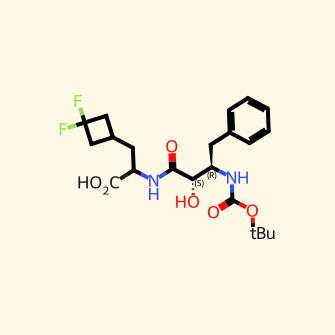 CC(C)(C)OC(=O)N[C@H](Cc1ccccc1)[C@H](O)C(=O)NC(CC1CC(F)(F)C1)C(=O)O